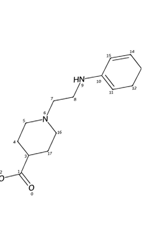 O=C(O)C1CCN(CCNC2=CCCC=C2)CC1